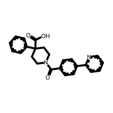 O=C(c1ccc(-c2ccccn2)cc1)N1CCC(C(=O)O)(c2ccccc2)CC1